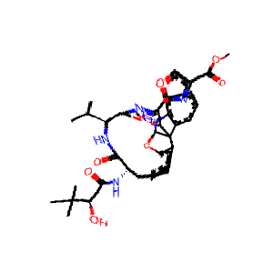 COC(=O)c1coc(-c2nc3oc2C24c5ccccc5NC2Oc2ccc(cc24)C[C@H](NC(=O)[C@@H](O)C(C)(C)C)C(=O)N[C@H]3C(C)C)n1